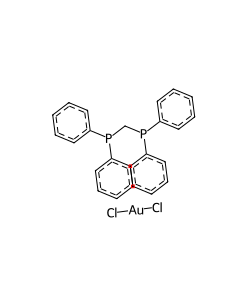 [Cl][Au][Cl].c1ccc(P(CP(c2ccccc2)c2ccccc2)c2ccccc2)cc1